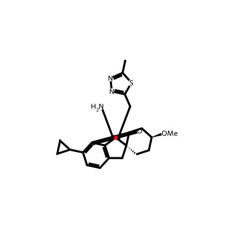 CO[C@H]1CC[C@]2(CC1)Cc1ccc(C3CC3)cc1C21N=C(N)N(Cc2nnc(C)s2)C1=O